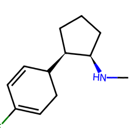 CN[C@@H]1CCC[C@@H]1C1C=CC(F)=CC1